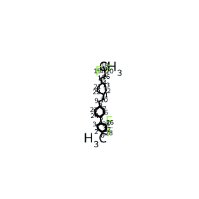 Cc1ccc(-c2ccc(CCC3CCC(CCC(C)(F)F)CC3)cc2)c(F)c1F